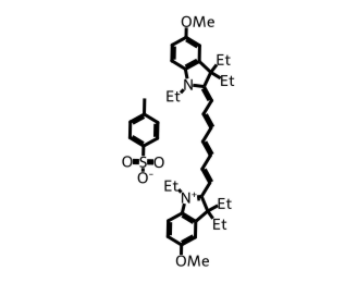 CCN1\C(=C/C=C/C=C/C=C/C2=[N+](CC)c3ccc(OC)cc3C2(CC)CC)C(CC)(CC)c2cc(OC)ccc21.Cc1ccc(S(=O)(=O)[O-])cc1